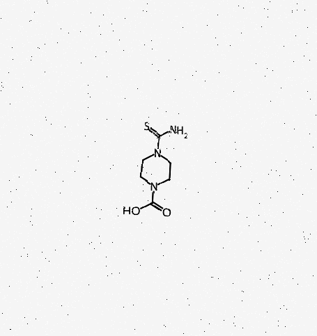 NC(=S)N1CCN(C(=O)O)CC1